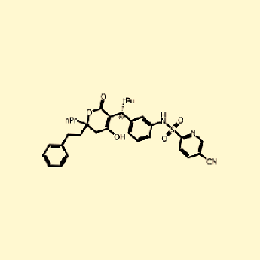 CCCC1(CCc2ccccc2)CC(O)=C([C@@H](c2cccc(NS(=O)(=O)c3ccc(C#N)cn3)c2)C(C)(C)C)C(=O)O1